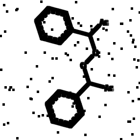 CC(=O)C(OOC(C(C)=O)c1ccccc1)c1ccccc1